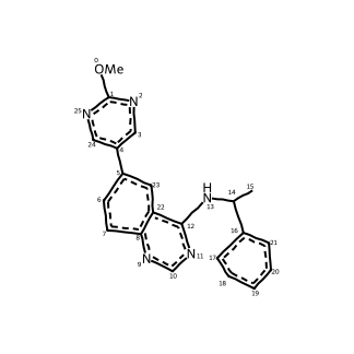 COc1ncc(-c2ccc3ncnc(NC(C)c4ccccc4)c3c2)cn1